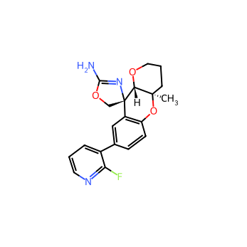 C[C@@]12CCCO[C@H]1[C@]1(COC(N)=N1)c1cc(-c3cccnc3F)ccc1O2